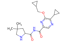 CC1(C)CNC(C(=O)NC(=O)c2cnc(C3CC3)c(OCC3CC3)n2)C1